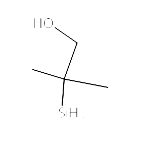 CC(C)([SiH3])CO